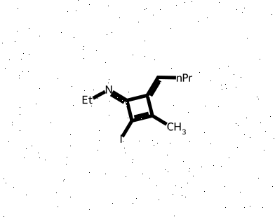 CCC/C=C1C(C)=C(I)C\1=N/CC